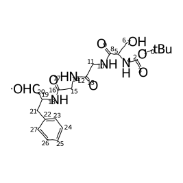 CC(C)(C)OC(=O)NC(CO)C(=O)NCC(=O)NCC(=O)NC([C]=O)Cc1ccccc1